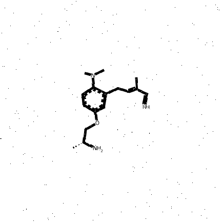 C/C(C=N)=C\Cc1cc(OC[C@@H](C)N)ccc1N(C)C